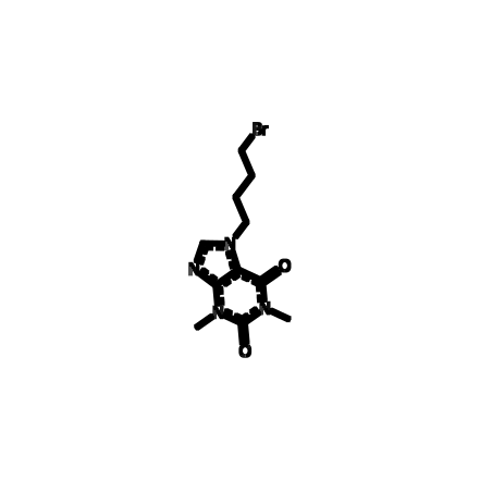 Cn1c(=O)c2c(ncn2CCCCBr)n(C)c1=O